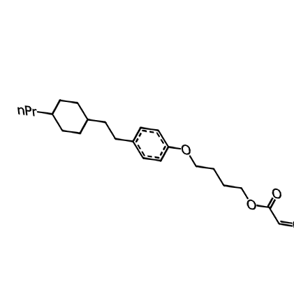 C=CC(=O)OCCCCOc1ccc(CCC2CCC(CCC)CC2)cc1